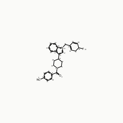 N#Cc1ccc(C(=O)N2CCC(c3cn(CC4=CCC(F)C=C4)c4ccccc34)CC2)cc1